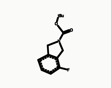 CC(C)(C)OC(=O)N1Cc2cccc(F)c2C1